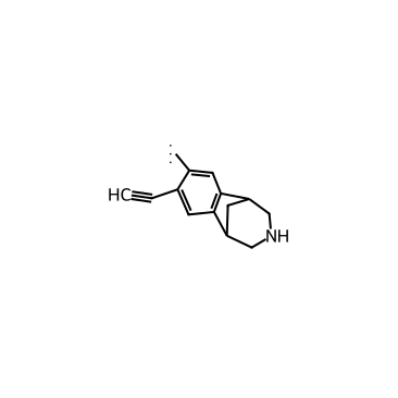 [C]c1cc2c(cc1C#C)C1CNCC2C1